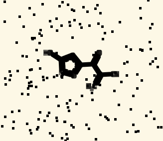 C=C(C#N)C(=O)c1cc(O)no1